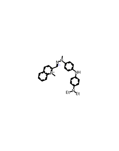 CCN(CC)c1ccc(Nc2ccc(N(C)/N=C/c3ccc4ccccc4[n+]3C)cc2)cc1